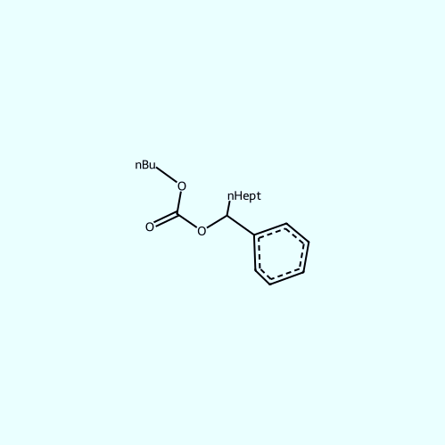 CCCCCCCC(OC(=O)OCCCC)c1ccccc1